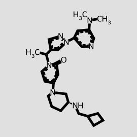 CC(c1cnn(-c2cncc(N(C)C)c2)c1)n1ccc(N2CCC[C@@H](NCC3CCC3)C2)cc1=O